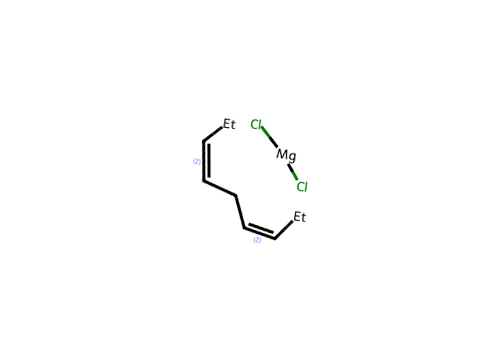 [CH2]C/C=C\C/C=C\CC.[Cl][Mg][Cl]